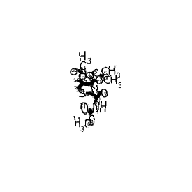 COC(=O)N[C@H]1C(=O)N2C(C(=O)OC(C)(C)C)=C(COC(C)=O)CSC12